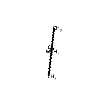 CCCCCCCCCCCCCCCCCC(=O)OC(=O)CCCCCCCCCCCCC.[MgH2]